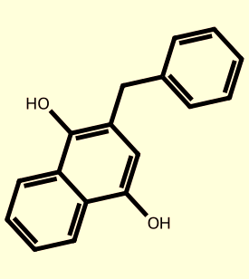 Oc1cc(Cc2ccccc2)c(O)c2ccccc12